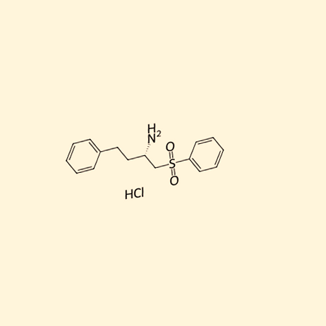 Cl.N[C@@H](CCc1ccccc1)CS(=O)(=O)c1ccccc1